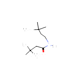 CCN(CCC(C)(C)OC)C(=O)CC(C)(CC)OC